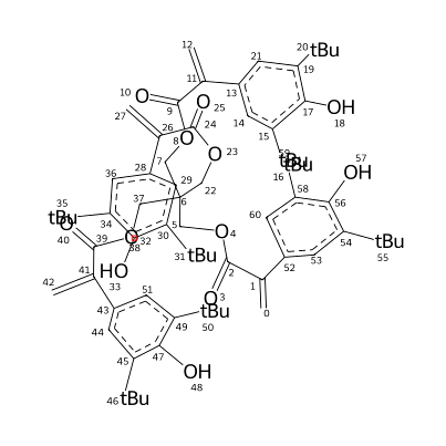 C=C(C(=O)OCC(COC(=O)C(=C)c1cc(C(C)(C)C)c(O)c(C(C)(C)C)c1)(COC(=O)C(=C)c1cc(C(C)(C)C)c(O)c(C(C)(C)C)c1)COC(=O)C(=C)c1cc(C(C)(C)C)c(O)c(C(C)(C)C)c1)c1cc(C(C)(C)C)c(O)c(C(C)(C)C)c1